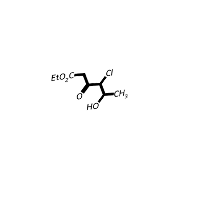 CCOC(=O)CC(=O)C(Cl)C(C)O